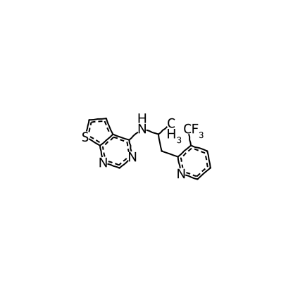 CC(Cc1ncccc1C(F)(F)F)Nc1ncnc2sccc12